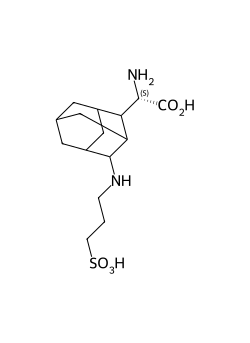 N[C@H](C(=O)O)C1C2CC3CC(C2)C(NCCCS(=O)(=O)O)C1C3